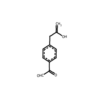 C=C(O)Cc1ccc(C(=O)C=O)cc1